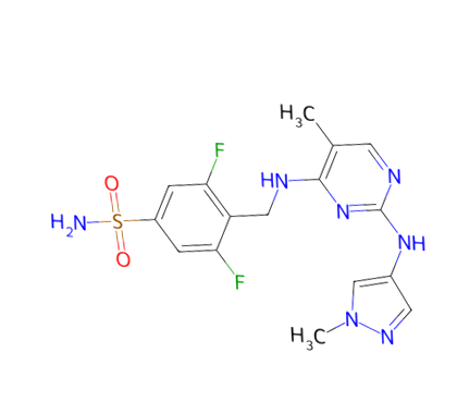 Cc1cnc(Nc2cnn(C)c2)nc1NCc1c(F)cc(S(N)(=O)=O)cc1F